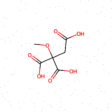 COC(CC(=O)O)(C(=O)O)C(=O)O